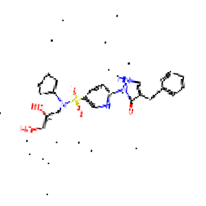 O=c1c(Cc2ccccc2)c[nH]n1-c1ccc(S(=O)(=O)N(C[C@H](O)CO)C2CCCC2)cn1